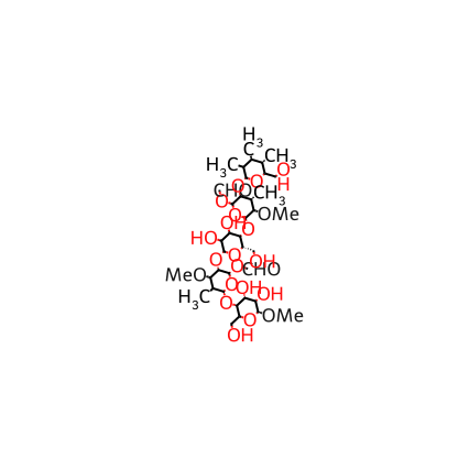 COC1[C@H](O[C@H]2C(O)C(O)[C@@H](O[C@H]3C(OC)C(C)[C@H](O[C@@H]4C(CO)O[C@H](OC)C(O)[C@H]4O)O[C@H]3OC=O)O[C@H]2CO)OC(OC=O)[C@@H](O[C@H]2OC(CO)[C@@H](C)[C@H](C)C2C)[C@@H]1C